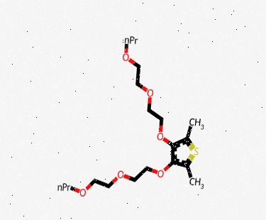 CCCOCCOCCOc1c(C)sc(C)c1OCCOCCOCCC